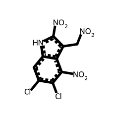 O=[N+]([O-])Cc1c([N+](=O)[O-])[nH]c2cc(Cl)c(Cl)c([N+](=O)[O-])c12